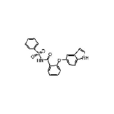 O=C(NS(=O)(=O)c1ccccc1)c1ccccc1Oc1ccc2[nH]ccc2c1